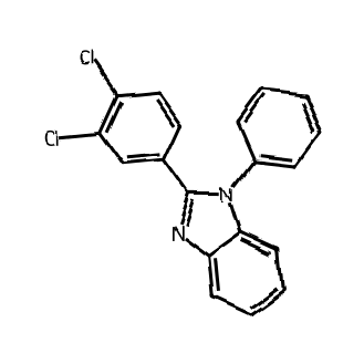 Clc1ccc(-c2nc3ccccc3n2-c2ccccc2)cc1Cl